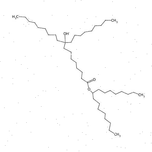 CCCCCCCCCC(O)(CCCCCCCCC)CCCCCCCC(=O)OC(CCCCCCCC)CCCCCCCC